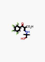 CC(C)(CO)NC=C(C(=O)O)C(=O)c1cc(F)c(F)c(F)c1F